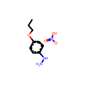 CCCOc1ccc(NN)cc1.O=[N+]([O-])O